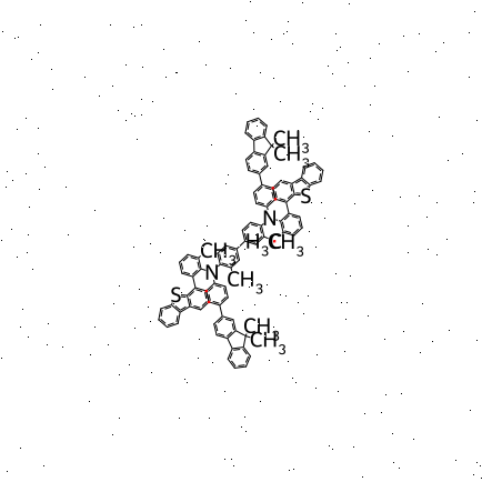 Cc1cc(-c2ccc(N(c3ccc(-c4ccc5c(c4)C(C)(C)c4ccccc4-5)cc3)c3c(C)cccc3-c3cccc4c3sc3ccccc34)c(C)c2)ccc1N(c1ccc(-c2ccc3c(c2)C(C)(C)c2ccccc2-3)cc1)c1c(C)cccc1-c1cccc2c1sc1ccccc12